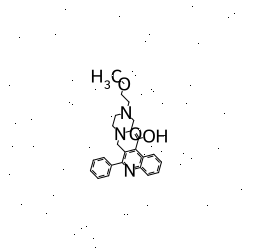 COCCN1CCN(Cc2c(-c3ccccc3)nc3ccccc3c2C(=O)O)CC1